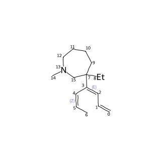 C=C/C=C(\C=C/C)C1(CC)CCCCN(C)C1